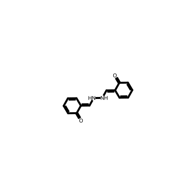 O=C1C=CC=C/C1=C\NN/C=C1\C=CC=CC1=O